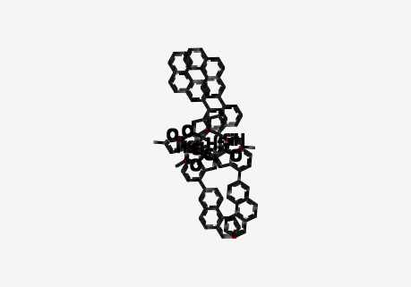 Cc1ccc(C2=Cc3c(-c4ccc5c(ccc6ccccc65)c4)cccc3[C]23[SiH](C)[C]2(C(c4ccc(C)o4)=Cc4c(-c5ccc6c(ccc7ccccc76)c5)cccc42)[Hf]32([Cl])([Cl])[C]3(C(c4ccc(C)o4)=Cc4c(-c5ccc6c(ccc7ccccc76)c5)cccc43)[SiH](C)[C]23C(c2ccc(C)o2)=Cc2c(-c4ccc5c(ccc6ccccc65)c4)cccc23)o1